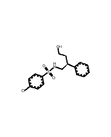 O=S(=O)(NC[C@@H](CCO)c1ccccc1)c1ccc(Cl)cc1